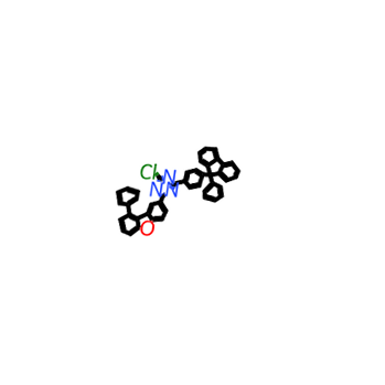 Clc1nc(-c2ccc(C3(c4ccccc4)c4ccccc4-c4ccccc43)cc2)nc(-c2ccc3oc4cccc(-c5ccccc5)c4c3c2)n1